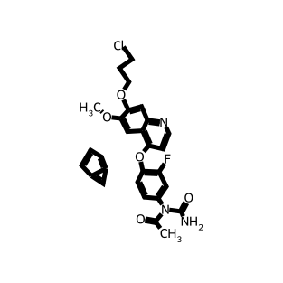 COc1cc2c(Oc3ccc(N(C(C)=O)C(N)=O)cc3F)ccnc2cc1OCCCCl.c1cc2cc-2c1